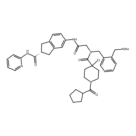 CCC1(C(=O)N(CC(=O)Nc2ccc3c(c2)C[C@H](C(=O)Nc2ccccn2)C3)Cc2ccccc2CNC)CCN(C(=O)C2CCCC2)CC1